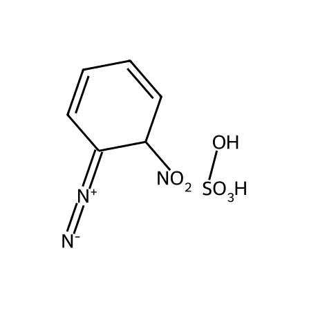 O=S(=O)(O)O.[N-]=[N+]=C1C=CC=CC1[N+](=O)[O-]